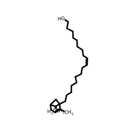 CC1=CCC2CC1(CCCCCCCC/C=C\CCCCCCCCO)C2(C)C